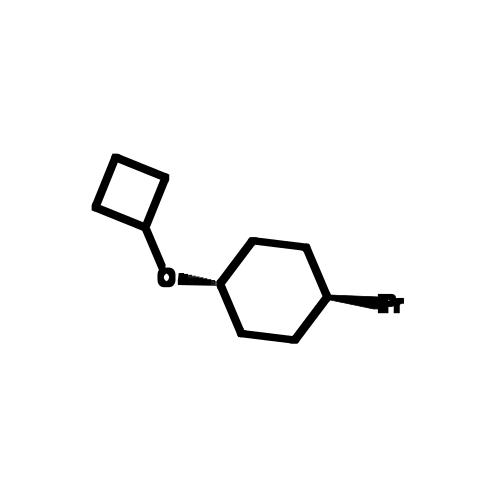 CC(C)[C@H]1CC[C@H](OC2CCC2)CC1